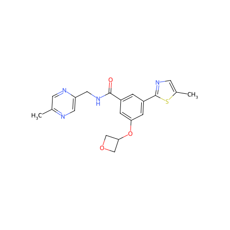 Cc1cnc(CNC(=O)c2cc(OC3COC3)cc(-c3ncc(C)s3)c2)cn1